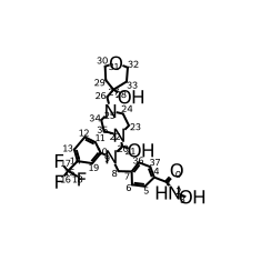 O=C(NO)c1ccc(CN(c2cccc(C(F)(F)F)c2)C(O)N2CCN(CC3(O)CCOCC3)CC2)cc1